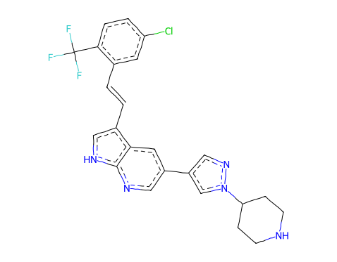 FC(F)(F)c1ccc(Cl)cc1C=Cc1c[nH]c2ncc(-c3cnn(C4CCNCC4)c3)cc12